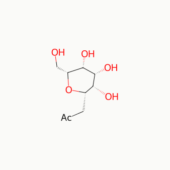 CC(=O)C[C@@H]1O[C@H](CO)[C@H](O)[C@H](O)[C@@H]1O